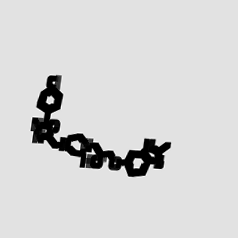 Cc1nc2cc(OC[C@H](O)CN3CCN(Cc4nnc(-c5ccc(Cl)cc5)o4)CC3)ccc2s1